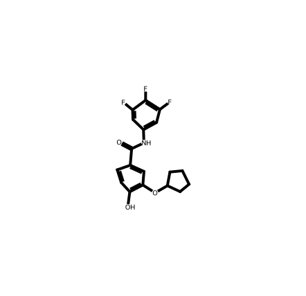 O=C(Nc1cc(F)c(F)c(F)c1)c1ccc(O)c(OC2CCCC2)c1